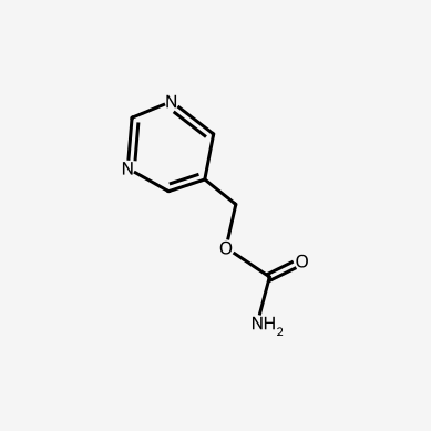 NC(=O)OCc1cncnc1